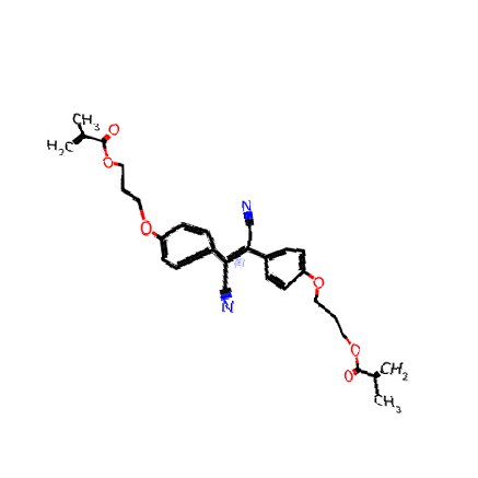 C=C(C)C(=O)OCCCOc1ccc(/C(C#N)=C(\C#N)c2ccc(OCCCOC(=O)C(=C)C)cc2)cc1